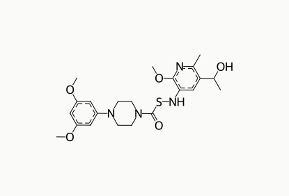 COc1cc(OC)cc(N2CCN(C(=O)SNc3cc(C(C)O)c(C)nc3OC)CC2)c1